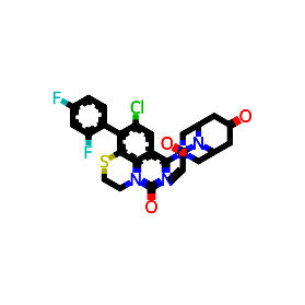 C=CC(=O)N1C2CC(=O)CC1CN(c1nc(=O)n3c4c(c(-c5ccc(F)cc5F)c(Cl)cc14)SCC3)C2